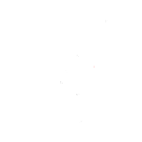 CCCCc1ccc(N2B3c4c(cc5ccccc5c4-c4ccccc42)N(c2ccc(CCCC)cc2-c2ccccc2)c2ccc4c(oc5ccccc54)c23)cc1